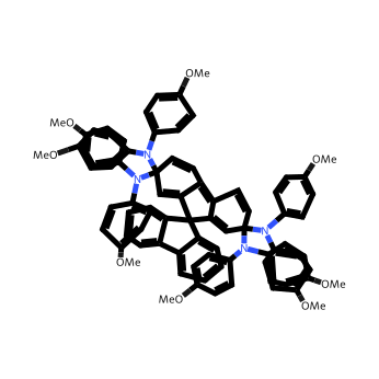 COc1ccc(N(c2ccc(OC)cc2)C2(N(c3ccc(OC)cc3)c3ccc(OC)cc3)C=CC3=C4C=CC(N(c5ccc(OC)cc5)c5ccc(OC)cc5)(N(c5ccc(OC)cc5)c5ccc(OC)cc5)C=C4C4(C3=C2)c2ccccc2-c2ccccc24)cc1